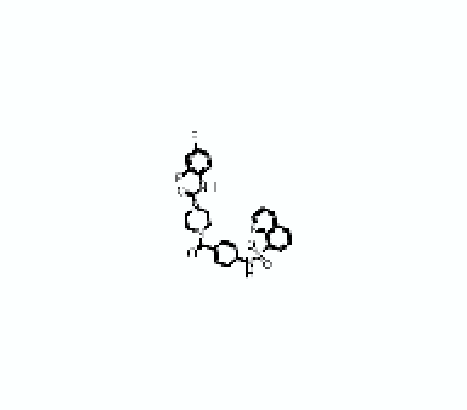 O=C(Nc1ccc(F)cc1F)N1CCN(C(=O)C2=CCC(NS(=O)(=O)c3cccc4cccnc34)C=C2)CC1